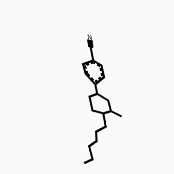 CCCCCCC1CCC(c2ccc(C#N)cc2)CC1C